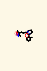 Cc1ccccc1C1CCC2CCC1N2C(=O)CCCc1c(C)noc1C